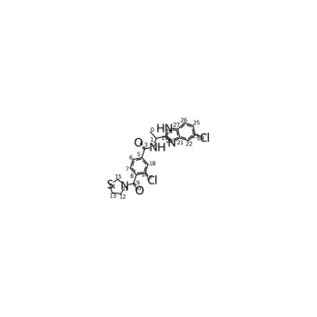 CC(NC(=O)c1ccc(C(=O)N2CCSC2)c(Cl)c1)c1nc2cc(Cl)ccc2[nH]1